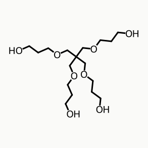 OCCCOCC(COCCCO)(COCCCO)COCCCO